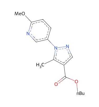 CCCCOC(=O)c1cnn(-c2ccc(OC)nc2)c1C